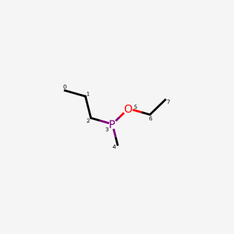 CCCP(C)OCC